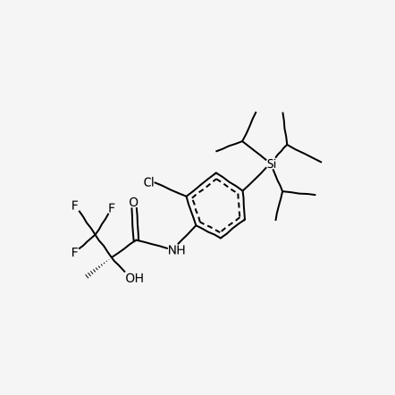 CC(C)[Si](c1ccc(NC(=O)[C@@](C)(O)C(F)(F)F)c(Cl)c1)(C(C)C)C(C)C